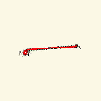 C=CCOC(C)COC(C)COC(C)COC(C)COC(C)COCCOCCOCCOCCOCCOCCOCCOCCOCCOCCOCCOCCOCCOCCOCCOCCOCCOCCOCCOCCOCCOCCOCCOCCOCCOCCOCCOCCOCCOC(=O)C(=C)C